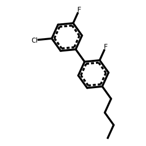 CCCCc1ccc(-c2cc(F)cc(Cl)c2)c(F)c1